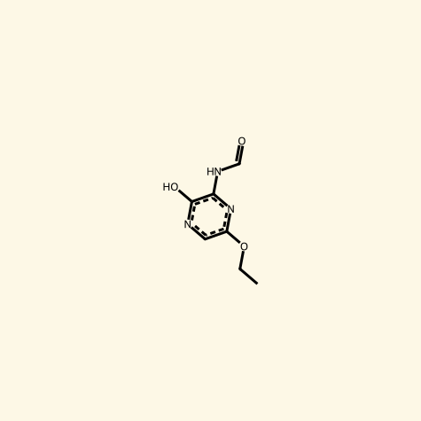 CCOc1cnc(O)c(NC=O)n1